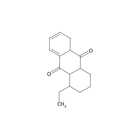 CCC1CCCC2C(=O)C3CC=CC=C3C(=O)C12